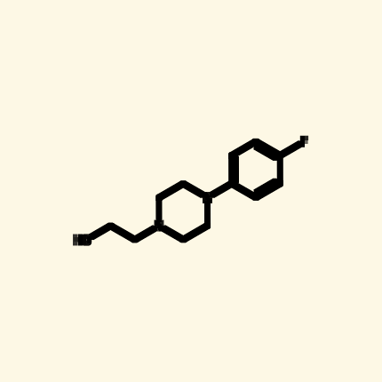 OCCN1CCN(c2ccc(F)cc2)CC1